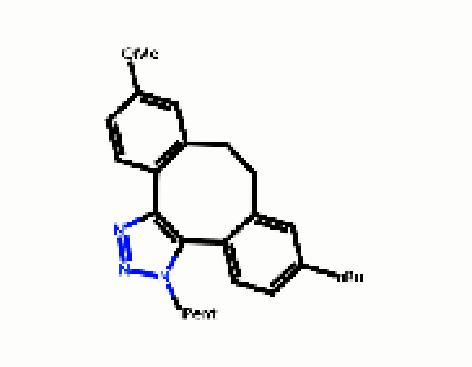 CCCCc1ccc2c(c1)CCc1cc(OC)ccc1-c1nnn(C(C)CCC)c1-2